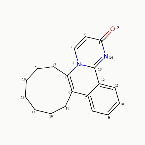 O=c1ccn2c3c(c4ccccc4c2n1)CCCCCCC3